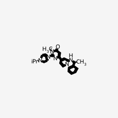 CC(C)N1CC2CC1CN2c1nc(-c2ccnc(N[C@@H](C)c3ccccc3)c2)cc(=O)n1C